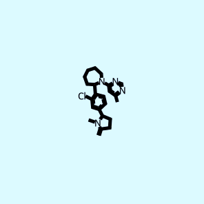 C=C1CCC(c2ccc(C3CCCCCN3c3cc(C)ncn3)c(Cl)c2)N1C